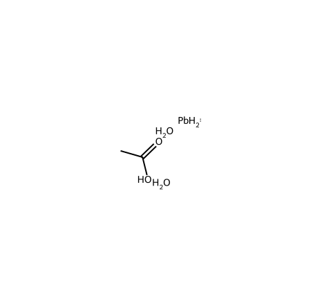 CC(=O)O.O.O.[PbH2]